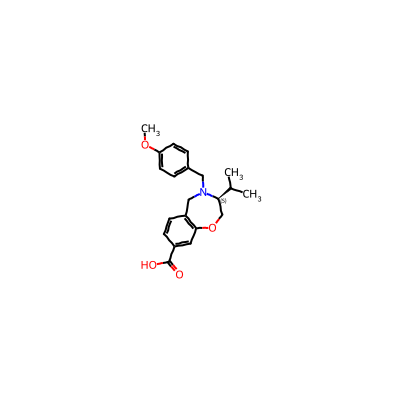 COc1ccc(CN2Cc3ccc(C(=O)O)cc3OC[C@@H]2C(C)C)cc1